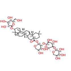 C[C@@H]1O[C@@H](O[C@H]2[C@H](OC(=O)[C@]34CCC(C)(C)C[C@H]3C3=CC[C@@H]5[C@@]6(C)CCC(O[C@@H]7O[C@H](CO)[C@@H](O)[C@H](O)[C@H]7O)C(C)(C)[C@@H]6CC[C@@]5(C)[C@]3(C)CC4)OC[C@@H](O)[C@@H]2O)[C@H](O)[C@H](O)[C@H]1O[C@@H]1OC[C@@H](O)[C@H](O)[C@H]1O